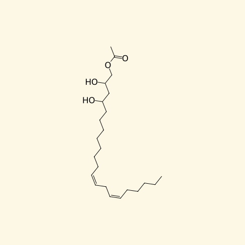 CCCCC/C=C\C/C=C\CCCCCCCC(O)CC(O)COC(C)=O